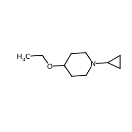 CCO[C]1CCN(C2CC2)CC1